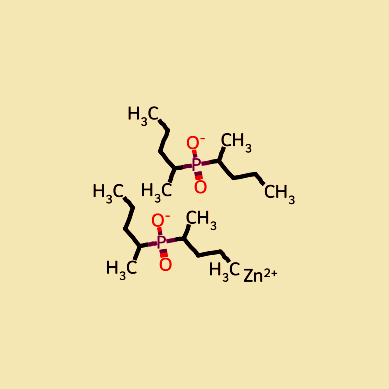 CCCC(C)P(=O)([O-])C(C)CCC.CCCC(C)P(=O)([O-])C(C)CCC.[Zn+2]